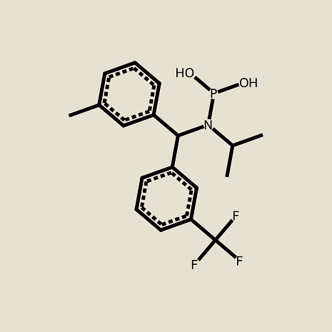 Cc1cccc(C(c2cccc(C(F)(F)F)c2)N(C(C)C)P(O)O)c1